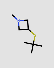 CN1CC(SC(C)(C)C)C1